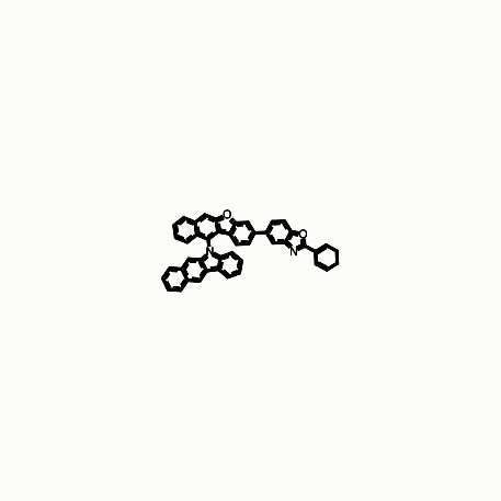 C1=CC(c2nc3cc(-c4ccc5c(c4)oc4cc6ccccc6c(-n6c7ccccc7c7cc8ccccc8cc76)c45)ccc3o2)=CCC1